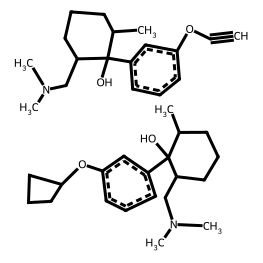 C#COc1cccc(C2(O)C(C)CCCC2CN(C)C)c1.CC1CCCC(CN(C)C)C1(O)c1cccc(OC2CCC2)c1